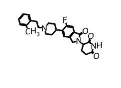 Cc1ccccc1CCN1CCC(c2cc3c(cc2F)C(=O)N(C2CCC(=O)NC2=O)C3)CC1